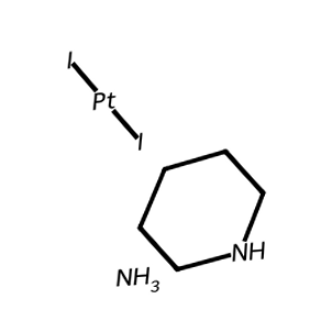 C1CCNCC1.N.[I][Pt][I]